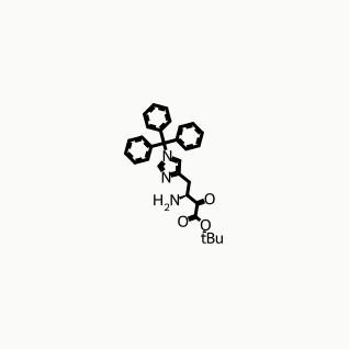 CC(C)(C)OC(=O)C(=O)[C@@H](N)Cc1cn(C(c2ccccc2)(c2ccccc2)c2ccccc2)cn1